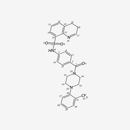 O=C(c1ccc(NS(=O)(=O)c2cccc3c2N=CCC3)cc1)N1CCN(c2ccccc2C(F)(F)F)CC1